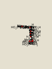 CC(C)[C@H](N)C(=O)O.CC[C@H](C)[C@H](N)C(=O)O.CSCC[C@H](N)C(=O)O.C[C@H](NC1CCCCC1)C(=O)O.NC(=O)CC[C@H](N)C(=O)O.NCCCC(=O)O.NCCCCCC(=O)O.NCCCC[C@H](N)C(=O)O.N[C@@H](Cc1c[nH]c2ccccc12)C(=O)O.N[C@@H](Cc1ccc(Cl)cc1)C(=O)O.N[C@@H](Cc1ccccc1)C(=O)O.O=C(O)CNc1ccccc1